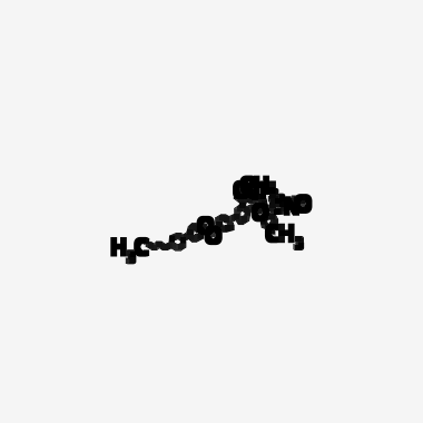 CCCCCC1CCC(c2ccc(OC(=O)c3ccc(-c4ccc5c6c(c7c(c5c4)COC7(C)C)C=CC(c4ccc(C)cc4)(c4ccc(N5CCOCC5)cc4)O6)cc3)cc2)CC1